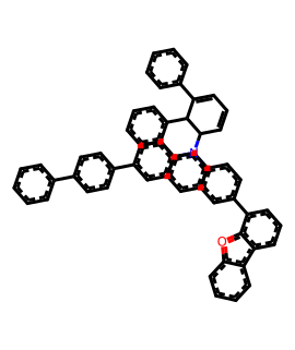 C1=CC(N(c2ccc(-c3ccc(-c4ccccc4)cc3)cc2)c2ccc(-c3cccc4c3oc3ccccc34)cc2)C(c2ccccc2-c2ccccc2)C(c2ccccc2)=C1